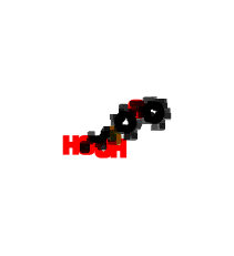 OCC(O)CSc1ccc(Oc2ccccc2)cc1